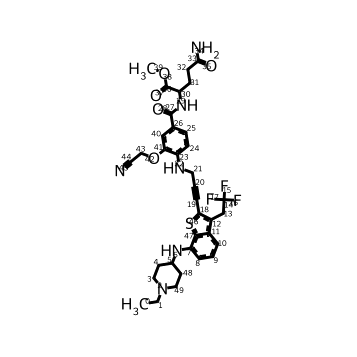 CCN1CCC(Nc2cccc3c(CC(F)(F)F)c(C#CCNc4ccc(C(=O)NC(CCC(N)=O)C(=O)OC)cc4OCC#N)sc23)CC1